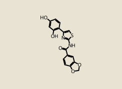 O=C(Nc1nc(-c2ccc(O)cc2O)cs1)c1ccc2c(c1)OCO2